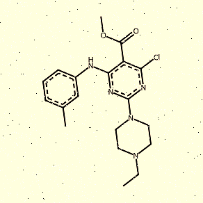 CCN1CCN(c2nc(Cl)c(C(=O)OC)c(Nc3cccc(C)c3)n2)CC1